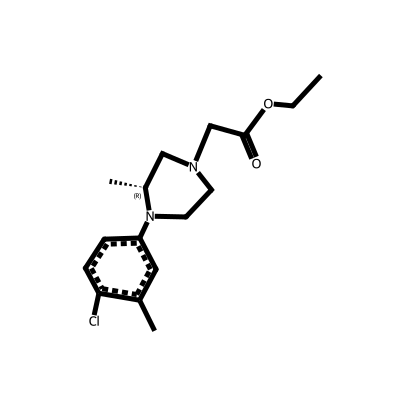 CCOC(=O)CN1CCN(c2ccc(Cl)c(C)c2)[C@H](C)C1